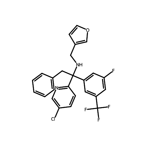 Fc1cc(C(F)(F)F)cc(C(Cc2ccccc2)(NCc2ccoc2)c2ccc(Cl)cn2)c1